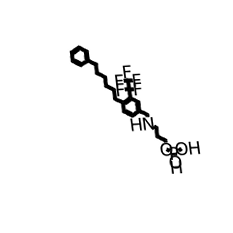 O=[PH](O)OCCCNCc1ccc(CCCCCCc2ccccc2)c(C(F)(F)C(F)(F)F)c1